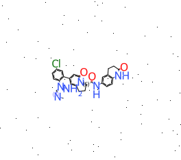 C/N=C\N(N)c1ccc(Cl)cc1-c1cc2n(c(=O)c1)[C@H](C(=O)Nc1ccc3c(c1)CCC(=O)N3)CC2